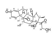 C[C@@H]1C[C@H]2[C@@H]3CCC4=CC(=O)C=C[C@]4(C)[C@@]3(Cl)[C@@H](F)C[C@]2(C)[C@@]1(O)C(=O)CO